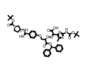 Cc1sc(NC(=O)OC(C)(C)C)nc1/C(=N/OC(COc1ccc(C(=N)N[C@H]2CCN(C(=O)OC(C)(C)C)C2)cc1)C(=O)OC(c1ccccc1)c1ccccc1)C(=O)O